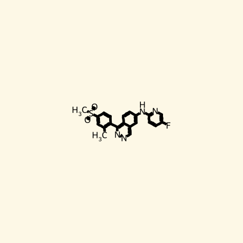 Cc1cc(S(C)(=O)=O)ccc1-c1nncc2cc(Nc3ccc(F)cn3)ccc12